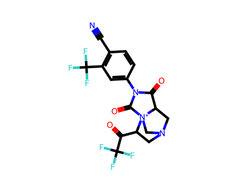 N#Cc1ccc(N2C(=O)C3CN4CC(C(=O)C(F)(F)F)[N+]3(C4)C2=O)cc1C(F)(F)F